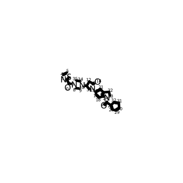 O=C(c1nccs1)N1CCN(C2CC(=O)N(c3ccc4c(c3)CCN4C(=O)c3ccccc3)C2)CC1